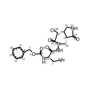 CC(C)C[C@@H](NC(=O)OCc1ccccc1)C(=O)NN(C[C@@H]1CCNC1=O)C(=O)CCl